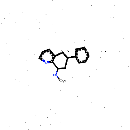 O=C(O)NC1CC(c2ccccc2)Cc2cccnc21